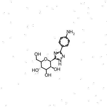 Nc1ccc(-c2n[nH]c([C@@H]3OC(CO)[C@@H](O)C(O)[C@@H]3O)n2)cc1